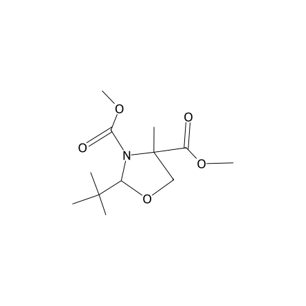 COC(=O)N1C(C(C)(C)C)OCC1(C)C(=O)OC